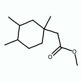 COC(=O)CC1(C)CCC(C)C(C)C1